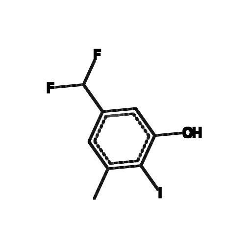 Cc1cc(C(F)F)cc(O)c1I